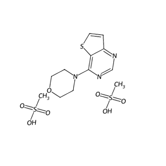 CS(=O)(=O)O.CS(=O)(=O)O.c1nc(N2CCOCC2)c2sccc2n1